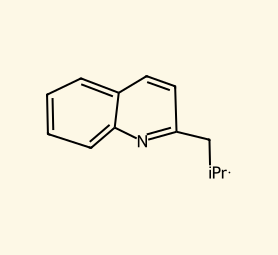 C[C](C)Cc1ccc2ccccc2n1